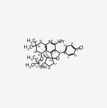 CC(C)c1nc2c(c3c1[C@@H](c1ccc(Cl)cc1)OC31CCCC1I)[C@@H](O[Si](C)(C)C(C)(C)C)CC(C)(C)C2